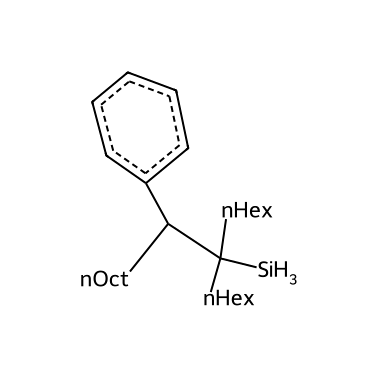 CCCCCCCCC(c1ccccc1)C([SiH3])(CCCCCC)CCCCCC